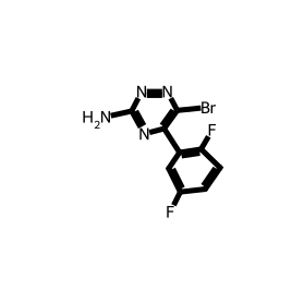 Nc1nnc(Br)c(-c2cc(F)ccc2F)n1